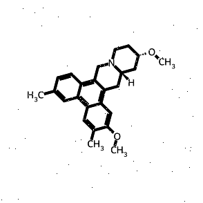 COc1cc2c3c(c4ccc(C)cc4c2cc1C)CN1CC[C@H](OC)C[C@@H]1C3